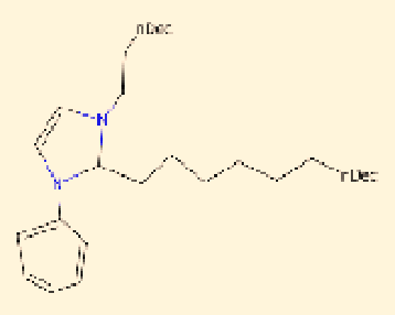 CCCCCCCCCCCCCCCCC1N(CCCCCCCCCCCC)C=CN1c1ccccc1